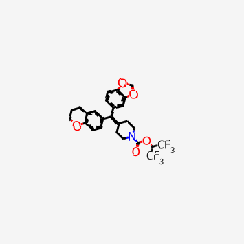 O=C(OC(C(F)(F)F)C(F)(F)F)N1CCC(=C(c2ccc3c(c2)CCCO3)c2ccc3c(c2)OCO3)CC1